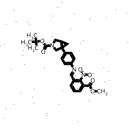 COC(=O)c1cccc(/C=N/c2ccc(C34CC3CN(C(=O)OC(C)(C)C)C4)cc2)c1[N+](=O)[O-]